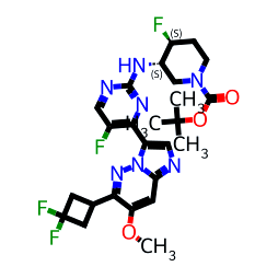 COc1cc2ncc(-c3nc(N[C@H]4CN(C(=O)OC(C)(C)C)CC[C@@H]4F)ncc3F)n2nc1C1CC(F)(F)C1